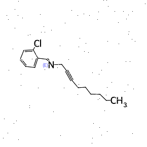 CCCCCCC#CC/N=C/c1ccccc1Cl